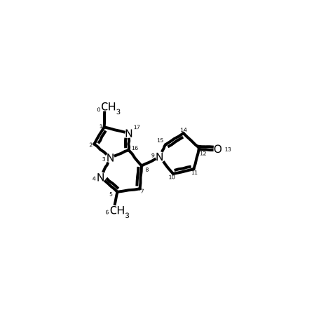 Cc1cn2nc(C)cc(-n3ccc(=O)cc3)c2n1